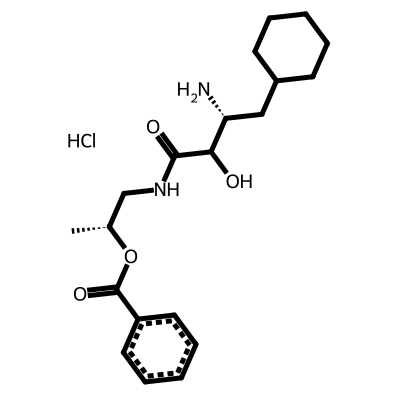 C[C@H](CNC(=O)C(O)[C@H](N)CC1CCCCC1)OC(=O)c1ccccc1.Cl